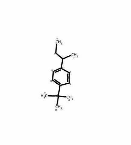 CCC(C)c1ccc(C(C)(C)C)cc1